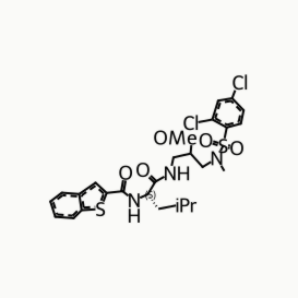 COC(CNC(=O)[C@H](CC(C)C)NC(=O)c1cc2ccccc2s1)CN(C)S(=O)(=O)c1ccc(Cl)cc1Cl